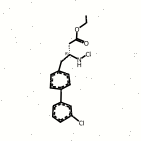 CCOC(=O)C[C@@H](Cc1ccc(-c2cccc(Cl)c2)cc1)NCl